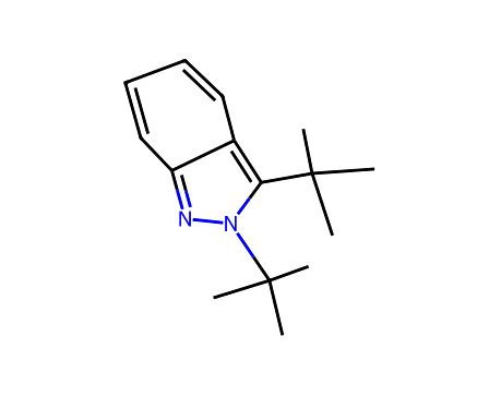 CC(C)(C)c1c2ccccc2nn1C(C)(C)C